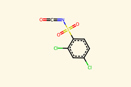 O=C=NS(=O)(=O)c1ccc(Cl)cc1Cl